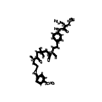 CN(CCOc1ccc(C=O)cc1)C(=O)CC(C)(C)CC(=O)N(C)CCc1ccc(NC(=O)[C@@H](N)CC(C)(C)C)cc1